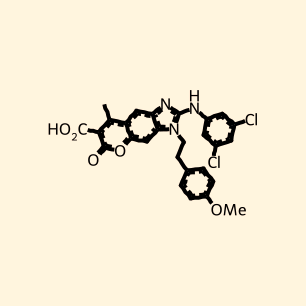 COc1ccc(CCn2c(Nc3cc(Cl)cc(Cl)c3)nc3cc4c(C)c(C(=O)O)c(=O)oc4cc32)cc1